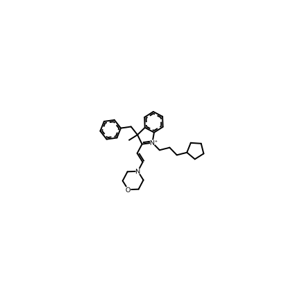 CC1(Cc2ccccc2)C(/C=C/N2CCOCC2)=[N+](CCCC2CCCC2)c2ccccc21